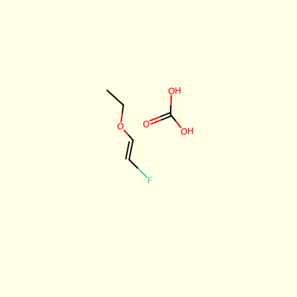 CCOC=CF.O=C(O)O